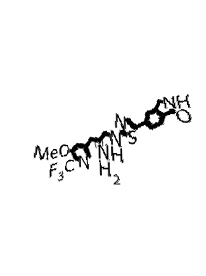 COc1cc(C[C@H](N)CNc2ncc(-c3ccc4c(c3)CNC4=O)s2)cnc1C(F)(F)F